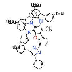 CC(C)(C)c1ccc2c(c1)c1cc(C(C)(C)C)ccc1n2-c1c(-n2c3ccc(C(C)(C)C)cc3c3cc(C(C)(C)C)ccc32)c(C#N)c2c(oc3c(-c4nc(-c5ccccc5)cc(-c5ccccc5)n4)cccc32)c1-n1c2ccc(C(C)(C)C)cc2c2cc(C(C)(C)C)ccc21